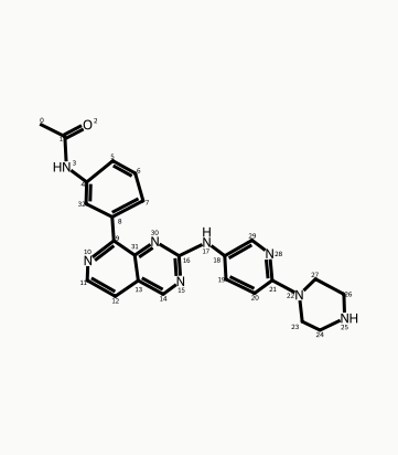 CC(=O)Nc1cccc(-c2nccc3cnc(Nc4ccc(N5CCNCC5)nc4)nc23)c1